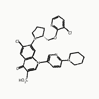 O=C(O)c1cn(-c2ccc(N3CCCCC3)nc2)c2cc(N3CCC[C@@H]3COc3ncccc3Cl)c(Cl)cc2c1=O